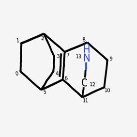 C1CC2CCC1C1=C2C2CCC1CN2